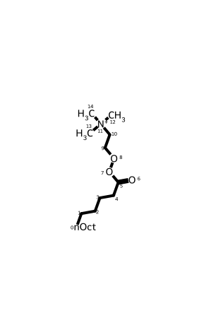 CCCCCCCCCCCCC(=O)OOCC[N+](C)(C)C